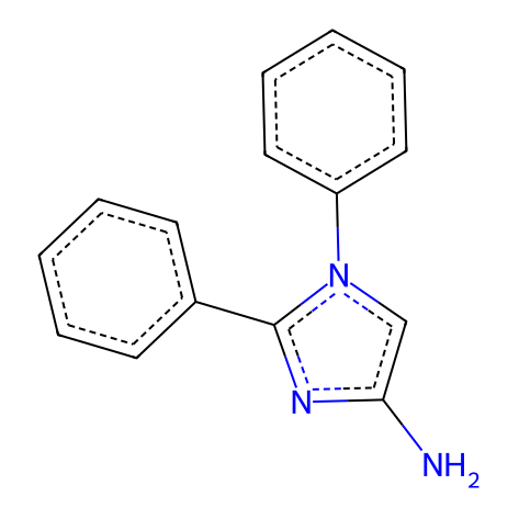 Nc1cn(-c2ccccc2)c(-c2ccccc2)n1